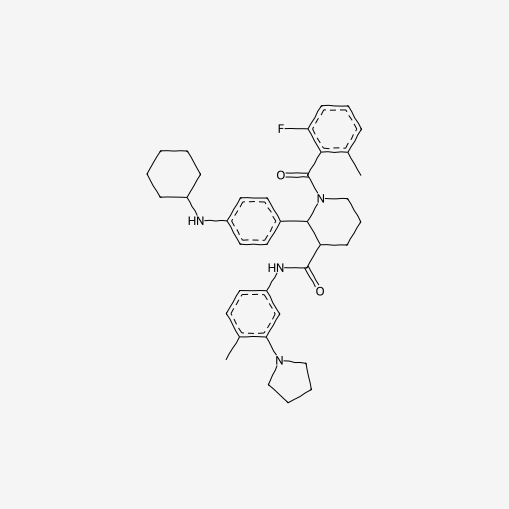 Cc1ccc(NC(=O)C2CCCN(C(=O)c3c(C)cccc3F)C2c2ccc(NC3CCCCC3)cc2)cc1N1CCCC1